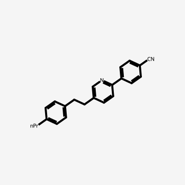 CCCc1ccc(CCc2ccc(-c3ccc(C#N)cc3)nc2)cc1